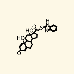 CC12C=CC(=O)C=C1CCC1C2[C@@H](O)CC2(C)C1CC[C@]2(O)C(=O)CSc1nc2ccccc2[nH]1